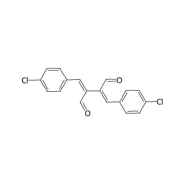 O=CC(=Cc1ccc(Cl)cc1)C(C=O)=Cc1ccc(Cl)cc1